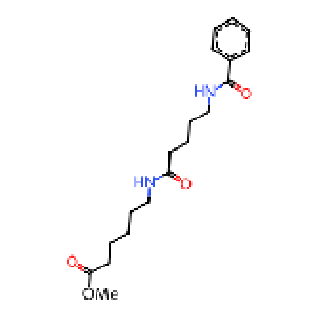 COC(=O)CCCCCNC(=O)CCCCNC(=O)c1ccccc1